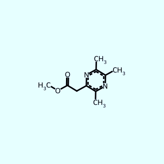 COC(=O)Cc1nc(C)c(C)nc1C